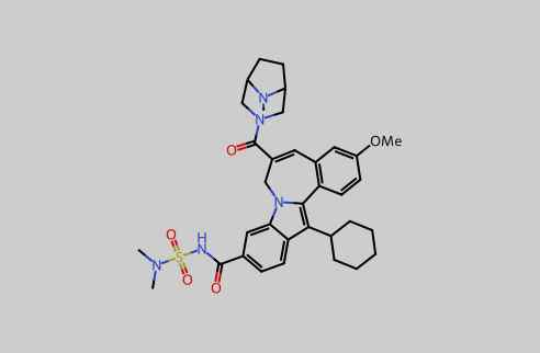 COc1ccc2c(c1)C=C(C(=O)N1CC3CCC(C1)N3C)Cn1c-2c(C2CCCCC2)c2ccc(C(=O)NS(=O)(=O)N(C)C)cc21